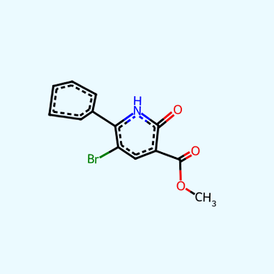 COC(=O)c1cc(Br)c(-c2ccccc2)[nH]c1=O